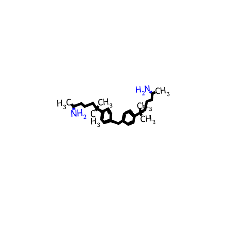 CC(N)CCCC(C)(C)c1ccc(Cc2ccc(C(C)(C)CCCC(C)N)cc2)cc1